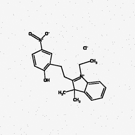 CC[N+]1=C(CCc2cc([N+](=O)[O-])ccc2O)C(C)(C)c2ccccc21.[Cl-]